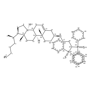 CC(C)CCC[C@@H](C)[C@H]1CC[C@H]2C3CC=C4C[C@@H](OCCC(P(=S)(c5ccccc5)c5ccccc5)P(=S)(c5ccccc5)c5ccccc5)CC[C@]4(C)[C@H]3CC[C@]12C